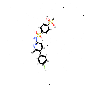 Cc1nc(NS(=O)(=O)c2ccc(S(C)(=O)=O)cc2)ccc1-c1ccc(F)cc1